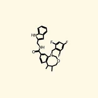 CC1COCN(Cc2c(F)cc(F)cc2F)c2cc(C(=O)NCc3cc4ccccc4[nH]3)ccc2C1C